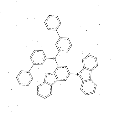 c1ccc(-c2cccc(N(c3cccc(-c4ccccc4)c3)c3cc(-n4c5ccccc5c5ccccc54)cc4c3sc3ccccc34)c2)cc1